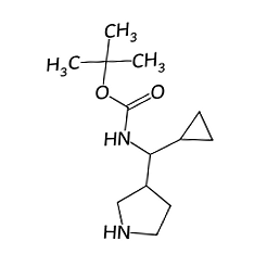 CC(C)(C)OC(=O)NC(C1CC1)C1CCNC1